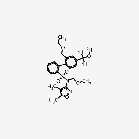 [2H]OC([2H])([2H])c1ccc(-c2ccccc2S(=O)(=O)N(COC)c2noc(C)c2C)c(COCC)c1